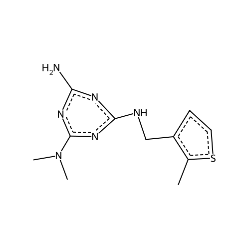 Cc1sccc1CNc1nc(N)nc(N(C)C)n1